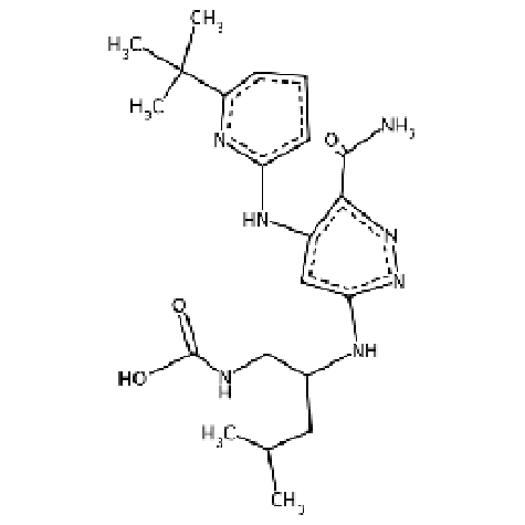 CC(C)CC(CNC(=O)O)Nc1cc(Nc2cccc(C(C)(C)C)n2)c(C(N)=O)nn1